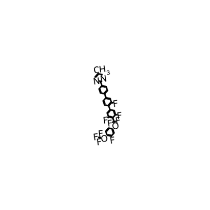 Cc1cnc(-c2ccc(-c3ccc(-c4cc(F)c(C(F)(F)Oc5ccc(OC(F)(F)F)c(F)c5)c(F)c4)c(F)c3)cc2)nc1